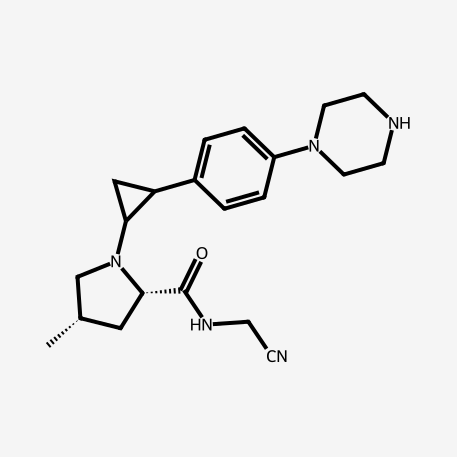 C[C@H]1C[C@@H](C(=O)NCC#N)N(C2CC2c2ccc(N3CCNCC3)cc2)C1